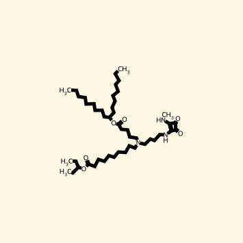 CCCCCCCCCC(CCCCCCCCC)OC(=O)CCCCN(CCCCCCCCCC(=O)OC(CC)CC)CCCCNc1c(NC)c(=O)c1=O